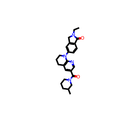 CCN1Cc2cc(N3CCCc4cc(C(=O)N5CCCC(C)C5)cnc43)ccc2C1=O